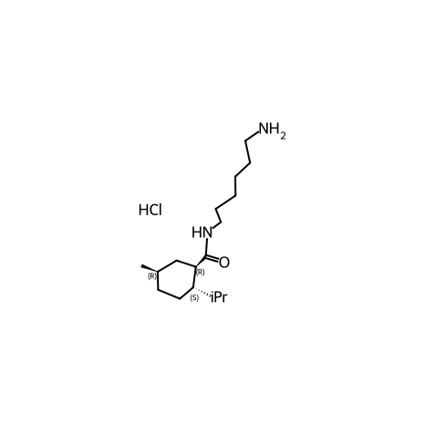 CC(C)[C@@H]1CC[C@@H](C)C[C@H]1C(=O)NCCCCCCN.Cl